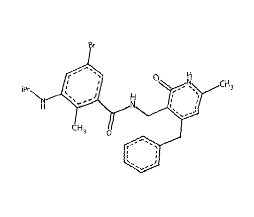 Cc1cc(Cc2ccccc2)c(CNC(=O)c2cc(Br)cc(NC(C)C)c2C)c(=O)[nH]1